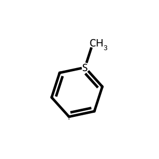 CS1=CC=[C]C=C1